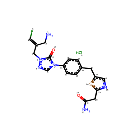 Cl.NC/C(=C\F)Cn1ncn(-c2ccc(Cc3cnc(CC(N)=O)s3)cc2)c1=O